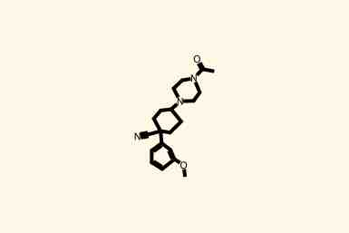 COc1cccc(C2(C#N)CCC(N3CCN(C(C)=O)CC3)CC2)c1